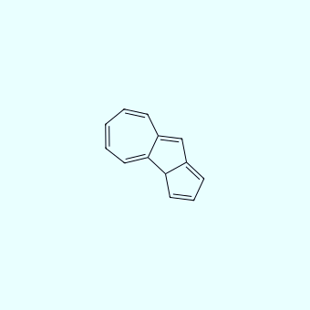 C1=CC=C2C(=CC3=CC=CC32)C=C1